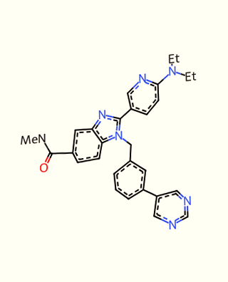 CCN(CC)c1ccc(-c2nc3cc(C(=O)NC)ccc3n2Cc2cccc(-c3cncnc3)c2)cn1